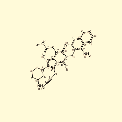 CC#CCn1c(N2CCCC(N)C2)nc2c1c(=O)n(Cc1ccc3cccnc3c1N)c(=O)n2CC(=O)OC